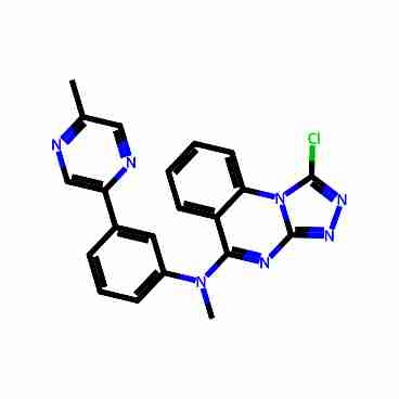 Cc1cnc(-c2cccc(N(C)c3nc4nnc(Cl)n4c4ccccc34)c2)cn1